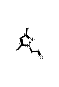 Cc1cc(C)n(CC=O)n1